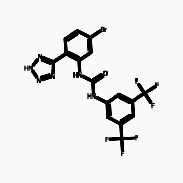 O=C(Nc1cc(C(F)(F)F)cc(C(F)(F)F)c1)Nc1cc(Br)ccc1-c1nn[nH]n1